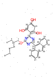 CCCCC(CC)COc1nc(-c2c(O)cc(O)cc2O)nc(-c2c3ccccc3cc3ccccc23)n1